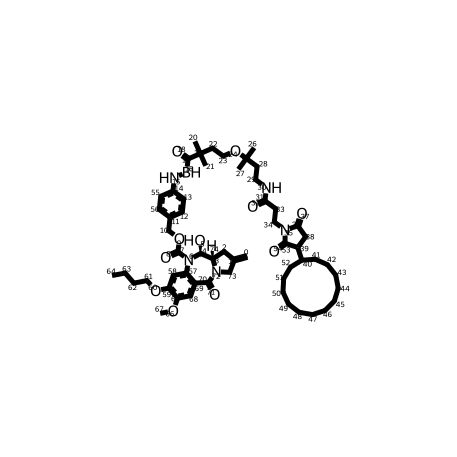 C=C1C[C@H]2[C@H](O)N(C(=O)OCc3ccc(NBC(=O)C(C)(C)CCOC(C)(C)CCNC(=O)CCN4C(=O)CC(C5CCCCCCCCCCCC5)C4=O)cc3)c3cc(OCCCC)c(OC)cc3C(=O)N2C1